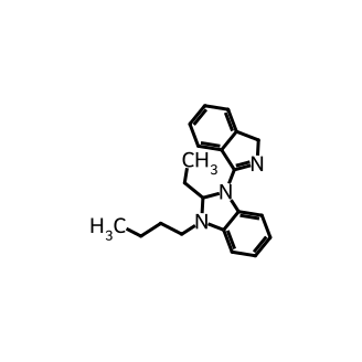 CCCCN1c2ccccc2N(C2=NCc3ccccc32)C1CC